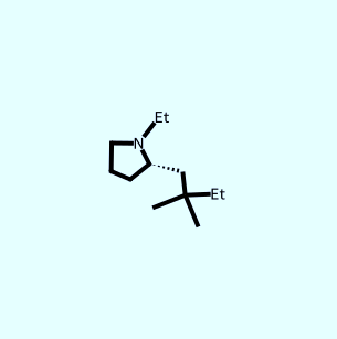 CCN1CCC[C@H]1CC(C)(C)CC